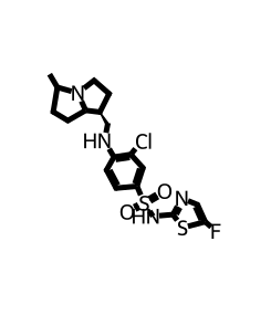 CC1CCC2[C@H](CNc3ccc(S(=O)(=O)Nc4ncc(F)s4)cc3Cl)CCN12